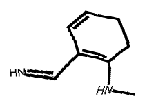 CNC1=C(C=N)C=CCC1